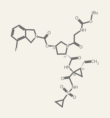 C=C[C@@H]1C[C@]1(NC(=O)[C@@H]1C[C@@H](OC(=O)N2Cc3cccc(F)c3C2)CN1C(=O)CNC(=O)OC(C)(C)C)C(=O)NS(=O)(=O)C1CC1